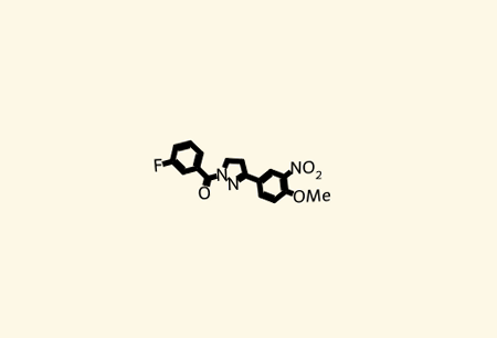 COc1ccc(C2=NN(C(=O)c3cccc(F)c3)CC2)cc1[N+](=O)[O-]